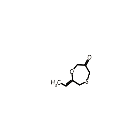 CC=C1CSCC(=O)CO1